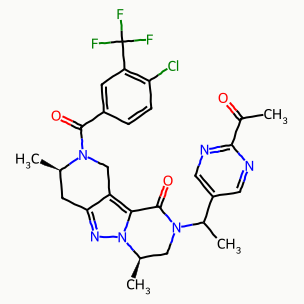 CC(=O)c1ncc(C(C)N2C[C@@H](C)n3nc4c(c3C2=O)CN(C(=O)c2ccc(Cl)c(C(F)(F)F)c2)[C@H](C)C4)cn1